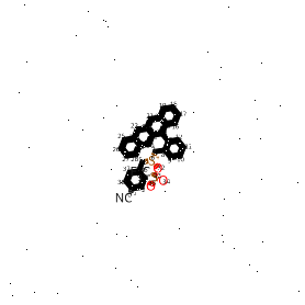 N#Cc1ccc(C[S+](Cc2ccccc2-c2c3ccccc3cc3cc4ccccc4cc23)OS(=O)(=O)C(F)(F)F)cc1